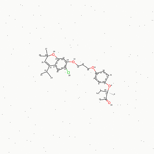 CC[C@@](C)(Oc1ccc(OCCCOc2cc3c(cc2Cl)C(C(C)C)=CC(C)(C)O3)cc1)C(C)=O